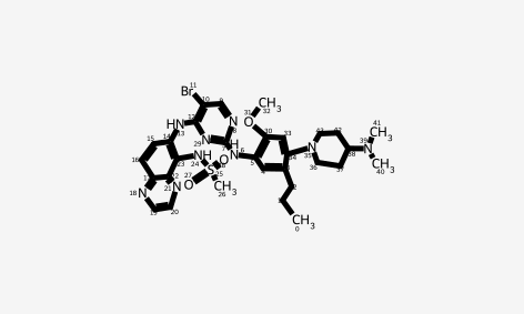 CCCc1cc(Nc2ncc(Br)c(Nc3ccc4nccnc4c3NS(C)(=O)=O)n2)c(OC)cc1N1CCC(N(C)C)CC1